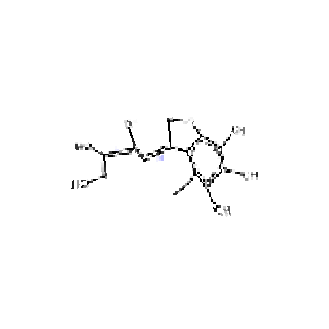 Cc1c(O)c(O)c(O)c2c1/C(=C/C(O)=C(/O)CO)CO2